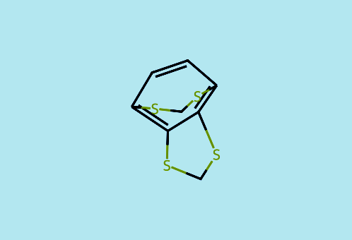 c1cc2c3c(c1SCS2)SCS3